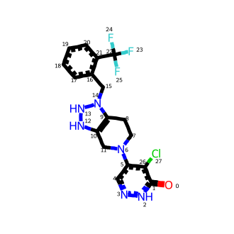 O=c1[nH]ncc(N2CCC3=C(C2)NNN3Cc2ccccc2C(F)(F)F)c1Cl